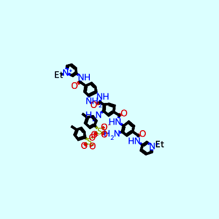 CC[n+]1cccc(NC(=O)c2ccc(NC(=O)c3ccc(C(=O)Nc4ccc(C(=O)Nc5ccc[n+](CC)c5)cc4N)c(N)c3)c(N)c2)c1.Cc1ccc(S(=O)(=O)[O-])cc1.Cc1ccc(S(=O)(=O)[O-])cc1